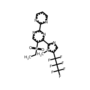 CCS(=O)(=O)c1cnc(-c2ncccn2)nc1-c1ncc(C(F)(F)C(F)(F)C(F)(F)F)n1C